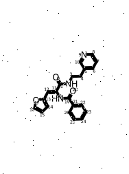 O=C(NCCc1cccnc1)/C(=C/c1ccco1)NC(=O)c1ccccc1